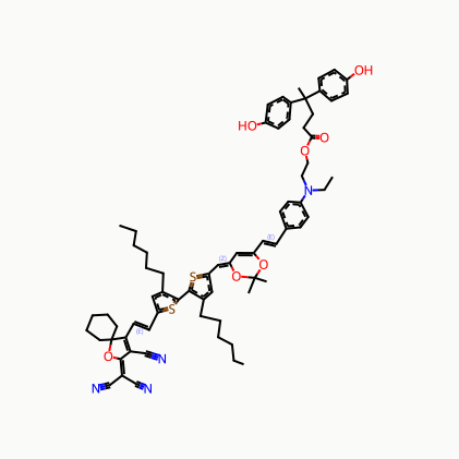 CCCCCCc1cc(/C=C2C=C(/C=C/c3ccc(N(CC)CCOC(=O)CCC(C)(c4ccc(O)cc4)c4ccc(O)cc4)cc3)OC(C)(C)O/2)sc1-c1sc(/C=C/C2=C(C#N)C(=C(C#N)C#N)OC23CCCCC3)cc1CCCCCC